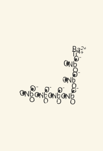 [Ba+2].[O]=[Nb](=[O])[O-].[O]=[Nb](=[O])[O-].[O]=[Nb](=[O])[O-].[O]=[Nb](=[O])[O-].[O]=[Nb](=[O])[O-].[O]=[Nb](=[O])[O-].[Ti+4]